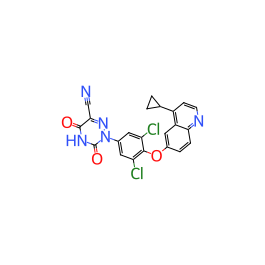 N#Cc1nn(-c2cc(Cl)c(Oc3ccc4nccc(C5CC5)c4c3)c(Cl)c2)c(=O)[nH]c1=O